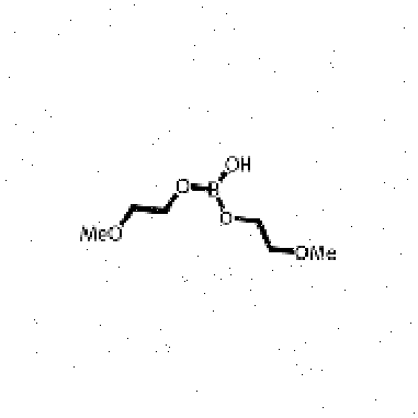 COCCOB(O)OCCOC